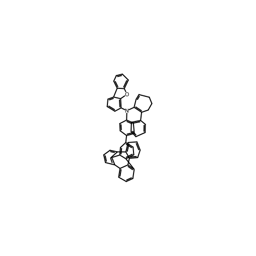 C1=CC(N(c2ccc(-c3ccc4c(c3)-c3c5cccc3-c3cccc-4c3-c3ccccc3-5)cc2)c2cccc3c2oc2ccccc23)=C(c2ccccc2)CCC1